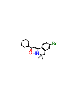 CC1(C)Cc2cc(Br)ccc2C(=CC(=O)C2CCCCC2)N1